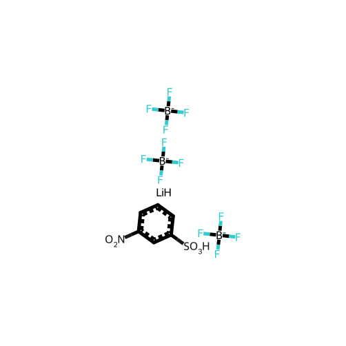 F[B-](F)(F)F.F[B-](F)(F)F.F[B-](F)(F)F.O=[N+]([O-])c1cccc(S(=O)(=O)O)c1.[LiH]